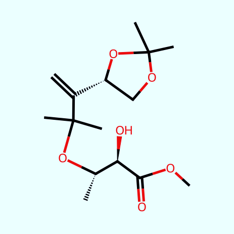 C=C([C@H]1COC(C)(C)O1)C(C)(C)O[C@@H](C)[C@@H](O)C(=O)OC